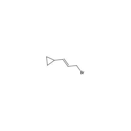 BrCC=CC1CC1